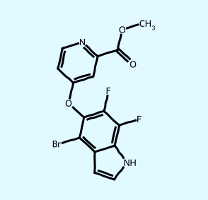 COC(=O)c1cc(Oc2c(F)c(F)c3[nH]ccc3c2Br)ccn1